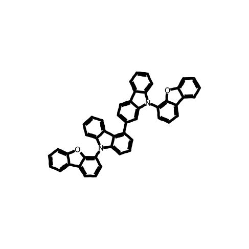 c1ccc2c(c1)oc1c(-n3c4ccccc4c4ccc(-c5cccc6c5c5ccccc5n6-c5cccc6c5oc5ccccc56)cc43)cccc12